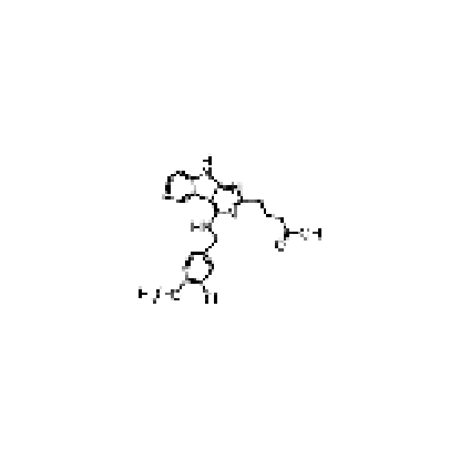 COc1ccc(CNc2nc(CCCC(=O)O)nc3[nH]c4ccccc4c23)cc1Cl